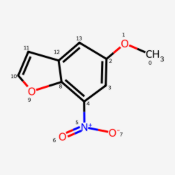 COc1cc([N+](=O)[O-])c2occc2c1